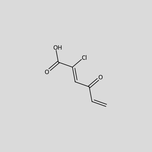 C=CC(=O)C=C(Cl)C(=O)O